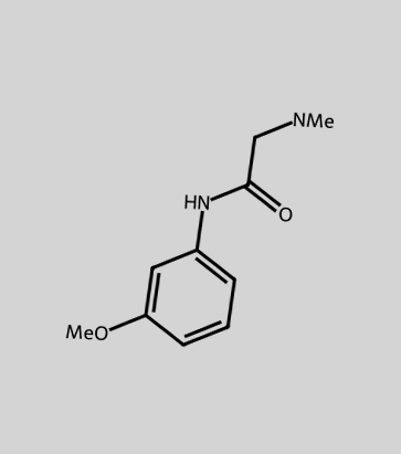 CNCC(=O)Nc1cccc(OC)c1